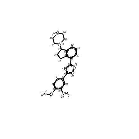 CC(C)Oc1ccc(-c2nc(-c3cccc4c3CCC4N3CCNCC3)no2)cc1N